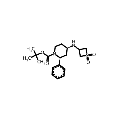 CC(C)(C)OC(=O)N1CC[C@@H](NC2CS(=O)(=O)C2)C[C@H]1c1ccccc1